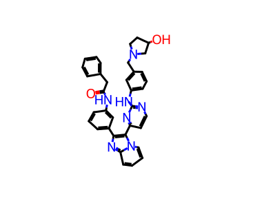 O=C(Cc1ccccc1)Nc1cccc(-c2nc3ccccn3c2-c2ccnc(Nc3cccc(CN4CCC(O)C4)c3)n2)c1